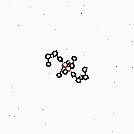 c1ccc(-c2ccc3c(c2)C2(c4ccccc4N3c3ccc(-c4cccc5c4sc4c(-c6ccccc6)cccc45)cc3)c3ccccc3N(c3ccc(-c4cccc5c4sc4c(-c6ccccc6)cccc45)cc3)c3ccc(-c4ccccc4)cc32)cc1